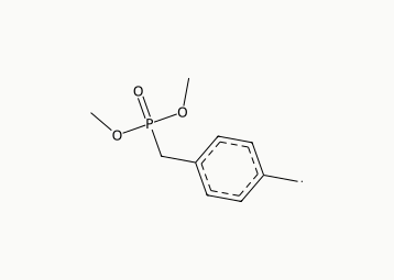 [CH2]c1ccc(CP(=O)(OC)OC)cc1